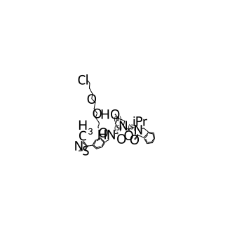 Cc1ncsc1-c1ccc(CNC(=O)[C@@H]2C[C@@H](O)CN2C(=O)[C@H](C(C)C)N2Cc3ccccc3C2=O)c(OCCCOCCOCCCCl)c1